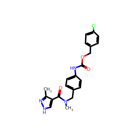 Cc1n[nH]cc1C(=O)N(C)Cc1ccc(NC(=O)OCc2ccc(Cl)cc2)cc1